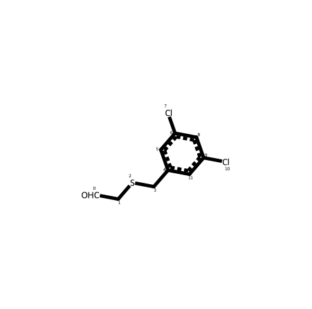 O=CCSCc1cc(Cl)cc(Cl)c1